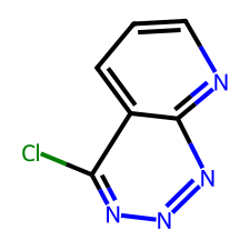 Clc1nnnc2ncccc12